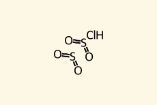 Cl.O=S=O.O=S=O